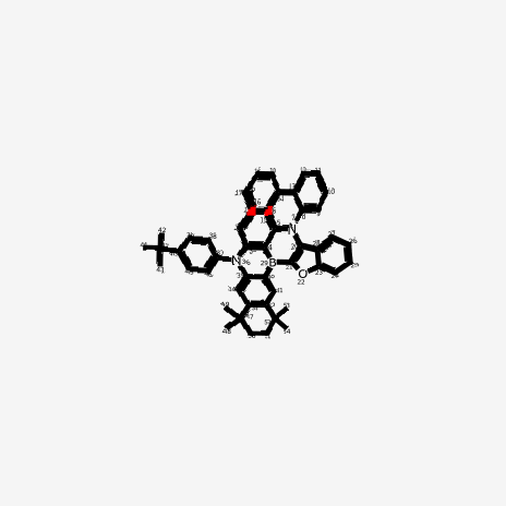 Cc1cc2c3c(c1)N(c1ccccc1-c1ccccc1)c1c(oc4ccccc14)B3c1cc3c(cc1N2c1ccc(C(C)(C)C)cc1)C(C)(C)CCC3(C)C